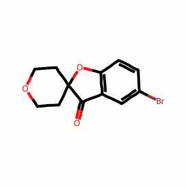 O=C1c2cc(Br)ccc2OC12CCOCC2